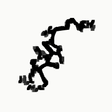 C=N/C=C\C=C(/C)n1cc(N(C)C(=O)C(CC)[S+](C)[O-])c(Cl)n1